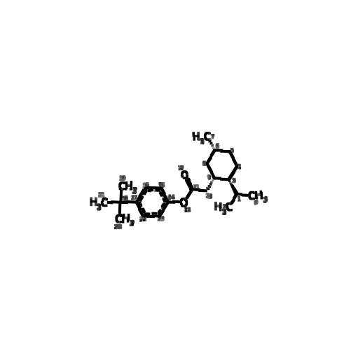 CC(C)[C@@H]1CC[C@@H](C)C[C@H]1CC(=O)Oc1ccc(C(C)(C)C)cc1